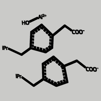 CC(C)Cc1ccc(CC(=O)[O-])cc1.CC(C)Cc1ccc(CC(=O)[O-])cc1.[OH][Al+2]